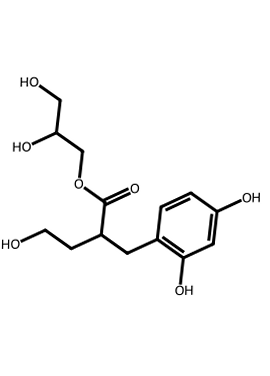 O=C(OCC(O)CO)C(CCO)Cc1ccc(O)cc1O